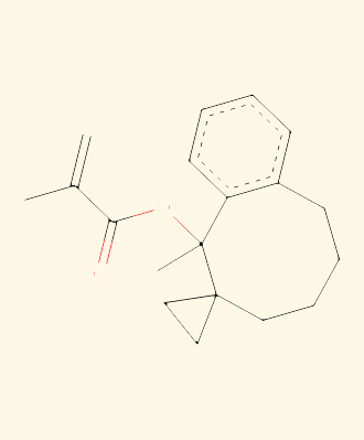 C=C(C)C(=O)OC1(C)c2ccccc2CCCCC12CC2